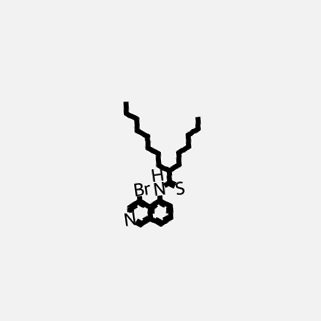 CCCCCCCCC(CCCCCC)C(=S)Nc1cccc2cncc(Br)c12